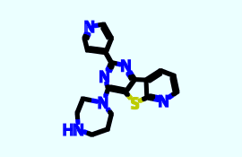 c1cnc2sc3c(N4CCCNCC4)nc(-c4ccncc4)nc3c2c1